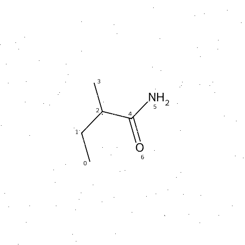 CC[C](C)C(N)=O